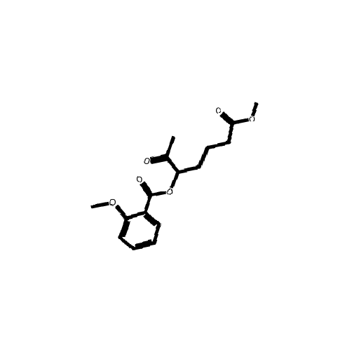 COC(=O)CCCC(OC(=O)c1ccccc1OC)C(C)=O